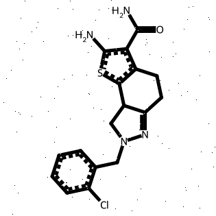 NC(=O)c1c(N)sc2c1CCC1=NN(Cc3ccccc3Cl)CC12